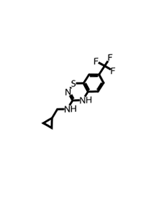 FC(F)(F)c1ccc2c(c1)SN=C(NCC1CC1)N2